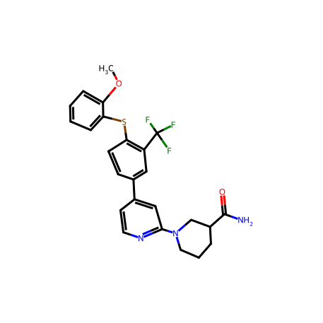 COc1ccccc1Sc1ccc(-c2ccnc(N3CCCC(C(N)=O)C3)c2)cc1C(F)(F)F